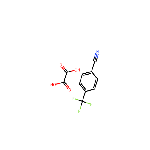 N#Cc1ccc(C(F)(F)F)cc1.O=C(O)C(=O)O